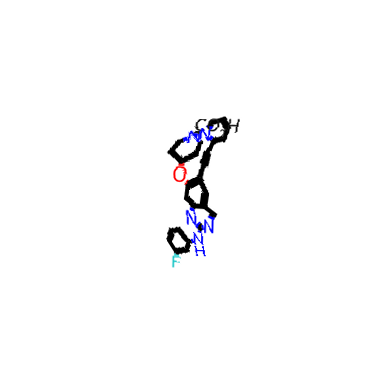 O=C(O)N1CCC(Oc2cc3nc(Nc4cccc(F)c4)ncc3cc2C#Cc2ccccn2)CC1